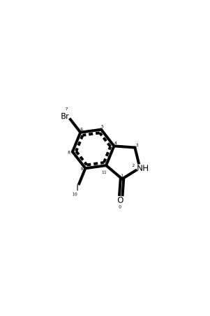 O=C1NCc2cc(Br)cc(I)c21